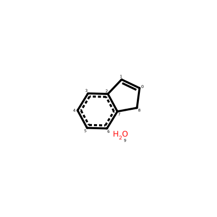 C1=Cc2ccccc2C1.O